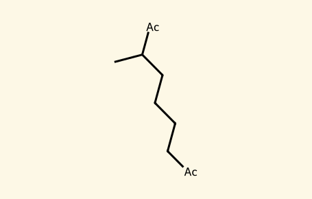 CC(=O)CCCCC(C)C(C)=O